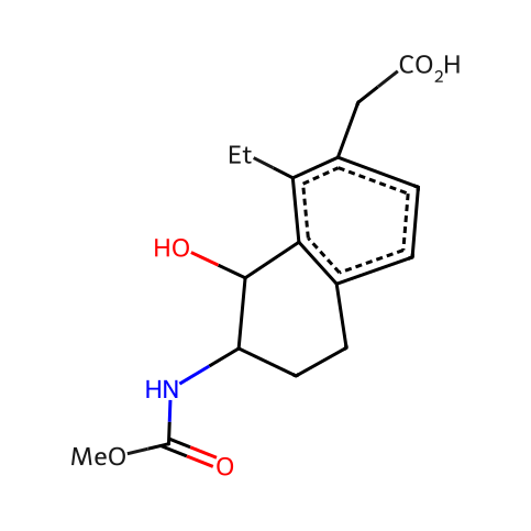 CCc1c(CC(=O)O)ccc2c1C(O)C(NC(=O)OC)CC2